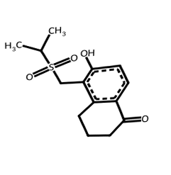 CC(C)S(=O)(=O)Cc1c(O)ccc2c1CCCC2=O